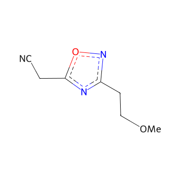 COCCc1noc(CC#N)n1